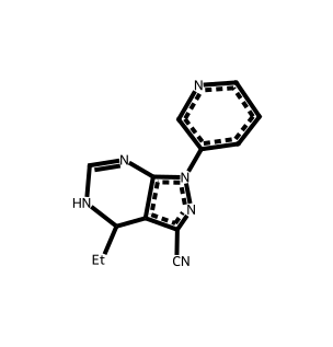 CCC1NC=Nc2c1c(C#N)nn2-c1cccnc1